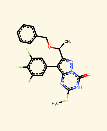 CSc1nc2c(-c3cc(F)c(F)c(F)c3)c([C@H](C)OCc3ccccc3)nn2c(=O)[nH]1